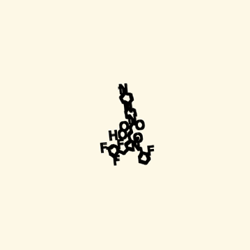 CN(C)c1ccc(N2CCN(C(=O)C(=O)C=C(O)c3cc(Cc4c(F)cc(F)cc4F)cn(Cc4ccccc4F)c3=O)CC2)cc1